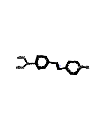 CCCCCCCCCCN(CCCCCCCCCC)c1ccc(/C=C/c2cc[n+](CC)cc2)cc1